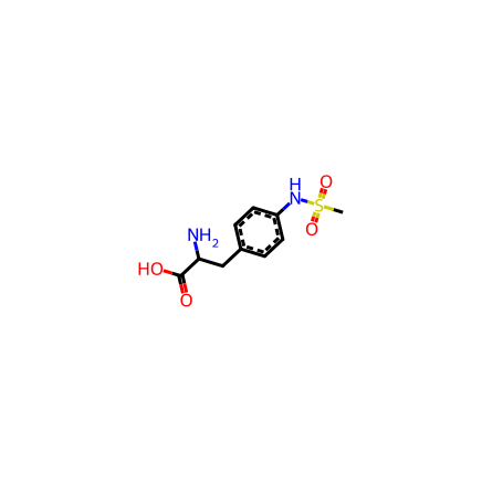 CS(=O)(=O)Nc1ccc(CC(N)C(=O)O)cc1